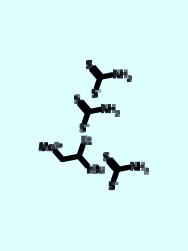 CCCCC(CC)[CH2][Mo+3].NC(=S)[S-].NC(=S)[S-].NC(=S)[S-]